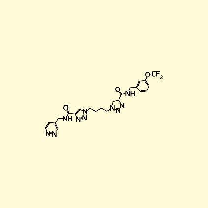 O=C(NCc1ccnnc1)c1cn(CCCCN2CC(C(=O)NCc3cccc(OC(F)(F)F)c3)N=N2)nn1